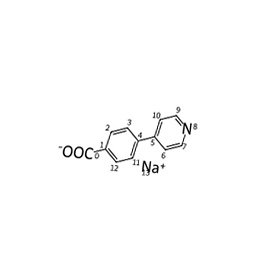 O=C([O-])c1ccc(-c2ccncc2)cc1.[Na+]